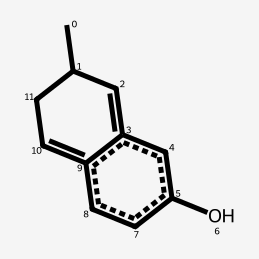 CC1C=c2cc(O)ccc2=CC1